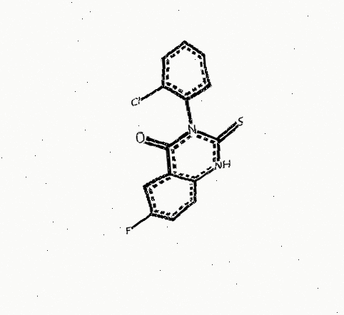 O=c1c2cc(F)ccc2[nH]c(=S)n1-c1ccccc1Cl